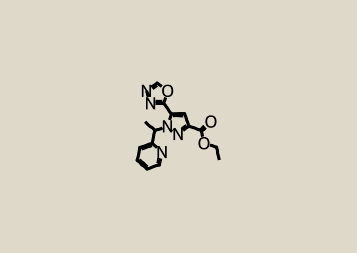 CCOC(=O)c1cc(-c2nnco2)n(C(C)c2ccccn2)n1